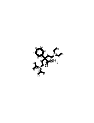 CCN(CC)CCC(CCN(C(C)C)C(C)C)(C(N)=O)c1ccccc1